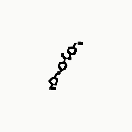 CCCCC1CCC(COc2ccc(C(=O)Oc3ccc(C[C@@H](C)CC)cc3)cc2)CC1